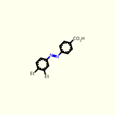 CCc1ccc(N=Nc2ccc(C(=O)O)cc2)cc1CC